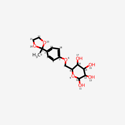 CC1(c2ccc(OCC3OC(O)C(O)C(O)C3O)cc2)OCCO1